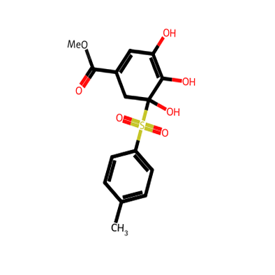 COC(=O)C1=CC(O)=C(O)C(O)(S(=O)(=O)c2ccc(C)cc2)C1